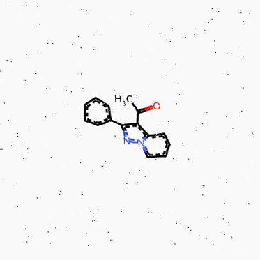 CC(=O)c1c(-c2ccccc2)nn2ccccc12